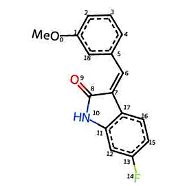 COc1cccc(C=C2C(=O)Nc3cc(F)ccc32)c1